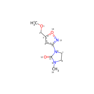 COCc1cc(N2CCN(C)C2=O)no1